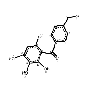 CC(C)Cc1ccc(C(=O)c2c(Br)cc(O)c(O)c2O)cc1